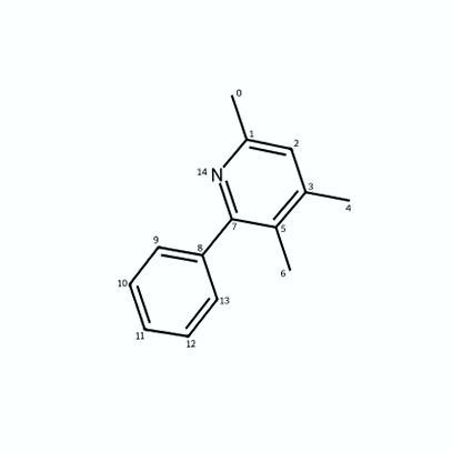 Cc1cc(C)c(C)c(-c2ccccc2)n1